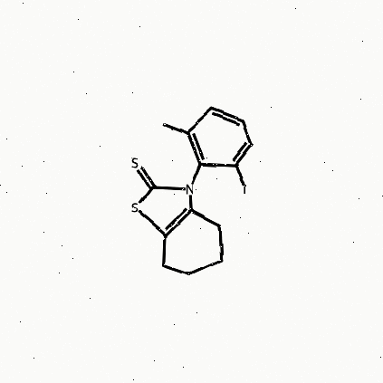 Cc1cccc(I)c1-n1c2c(sc1=S)CCCC2